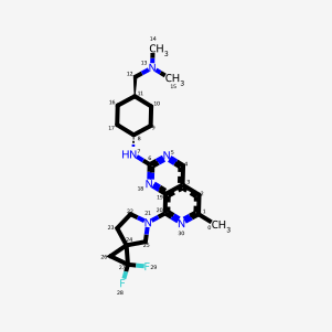 Cc1cc2cnc(N[C@H]3CC[C@H](CN(C)C)CC3)nc2c(N2CCC3(C2)CC3(F)F)n1